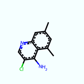 Cc1cc(C)c2c(N)c(Cl)cnc2c1